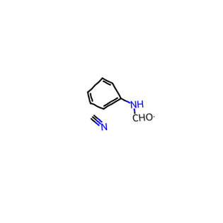 C#N.O=[C]Nc1ccccc1